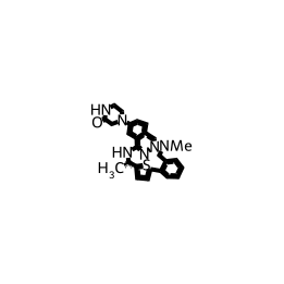 CNCc1ccccc1-c1ccc([C@@H](C)Nc2nncc3ccc(N4CCNC(=O)C4)cc23)s1